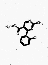 COC(=O)c1cnc(C)nc1-c1ccccc1Cl